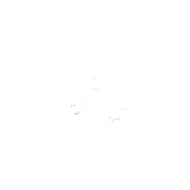 O=C1CC[C@@H]2CCCC3CC[C@H](CCN1)[C@@H]32